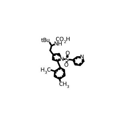 Cc1ccc(-c2cc(CC(NC(=O)O)C(C)(C)C)cn2S(=O)(=O)c2cccnc2)c(C)c1